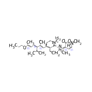 C=CC1=C(/C=C(C)/C(=C/C=C(\C)OCCC)C(=C)C)CCN(C)[C@@H]1CN/C(C)=C(/C=C\N=C)C(=O)O